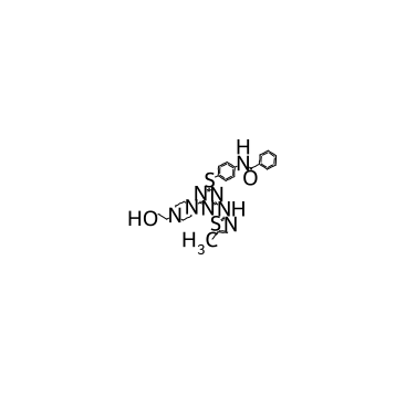 Cc1cnc(Nc2nc(Sc3ccc(NC(=O)c4ccccc4)cc3)nc(N3CCN(CCO)CC3)n2)s1